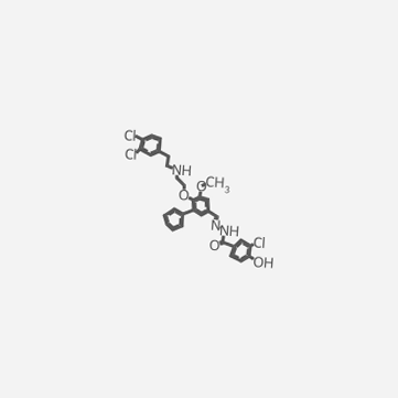 COc1cc(/C=N/NC(=O)c2ccc(O)c(Cl)c2)cc(-c2ccccc2)c1OCCNCCc1ccc(Cl)c(Cl)c1